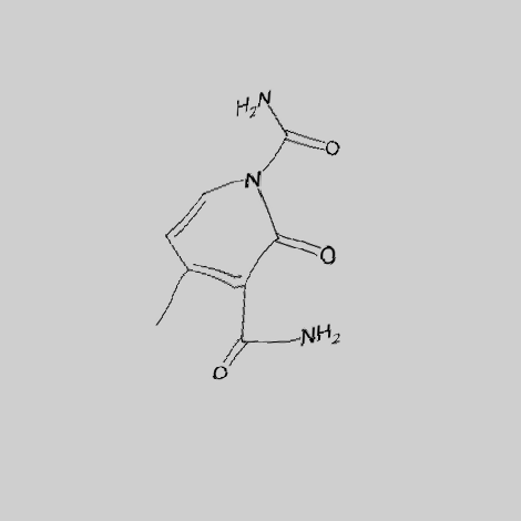 Cc1ccn(C(N)=O)c(=O)c1C(N)=O